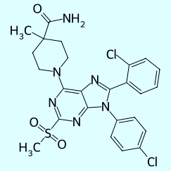 CC1(C(N)=O)CCN(c2nc(S(C)(=O)=O)nc3c2nc(-c2ccccc2Cl)n3-c2ccc(Cl)cc2)CC1